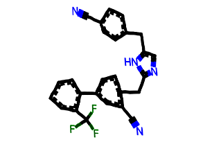 N#Cc1ccc(Cc2cnc(Cc3ccc(-c4ccccc4C(F)(F)F)cc3C#N)[nH]2)cc1